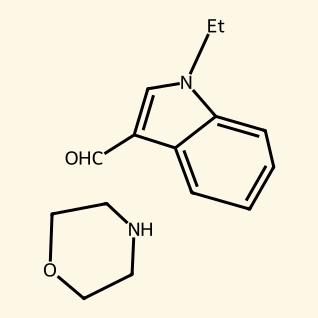 C1COCCN1.CCn1cc(C=O)c2ccccc21